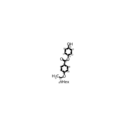 CCCCCC[C@H](C)Oc1ccc(C(=O)Oc2ccc(O)cc2)cc1